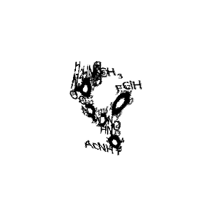 CC(=O)Nc1cc(NC(=O)N(c2cccc(F)c2)C2CCN(Cc3ccc(Oc4ccc(NS(C)(=O)=O)cc4C(N)=O)nc3)CC2)ccc1F.Cl